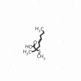 CCC/C=C/CC(CC)(SC)C(=O)O